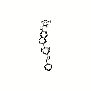 CCCCCCCCC(=O)Oc1ccc2cc(-c3ncc(OCc4ccccc4)cn3)ccc2c1